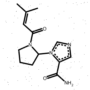 CC(C)=CC(=O)N1CCCC1n1cncc1C(N)=O